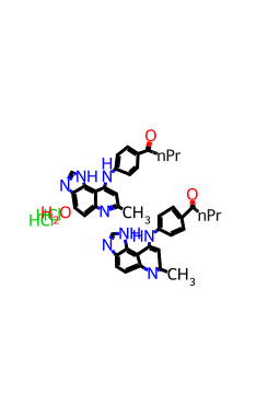 CCCC(=O)c1ccc(Nc2cc(C)nc3ccc4nc[nH]c4c23)cc1.CCCC(=O)c1ccc(Nc2cc(C)nc3ccc4nc[nH]c4c23)cc1.Cl.Cl.O